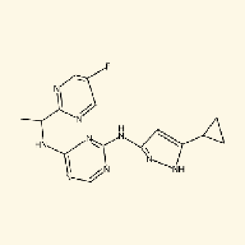 CC(Nc1ncnc(Nc2cc(C3CC3)[nH]n2)n1)c1ncc(F)cn1